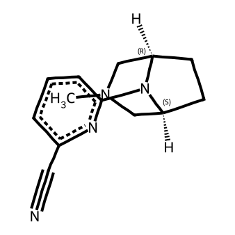 CN1C[C@H]2CC[C@@H](C1)N2c1cccc(C#N)n1